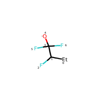 CCC(F)C([O])(F)F